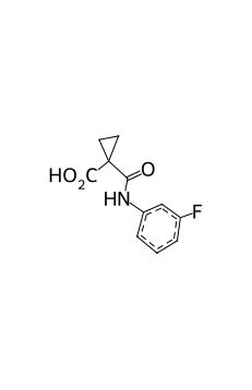 O=C(O)C1(C(=O)Nc2cccc(F)c2)CC1